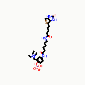 CC[N+](CC)(CC)Cc1cc(NC(=O)CCCCCNC(=O)CCCCC2SCC3NC(=O)NC32)ccc1OP(=O)(O)O